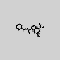 O=C(OCc1ccccc1)n1ccc2c(C(F)F)cc(Br)cc21